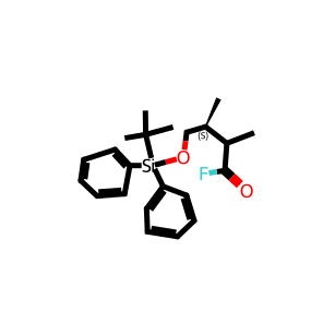 CC(C(=O)F)[C@H](C)CO[Si](c1ccccc1)(c1ccccc1)C(C)(C)C